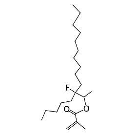 C=C(C)C(=O)OC(C)C(F)(CCCCC)CCCCCCCCCC